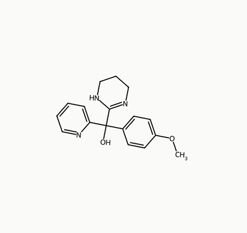 COc1ccc(C(O)(C2=NCCCN2)c2ccccn2)cc1